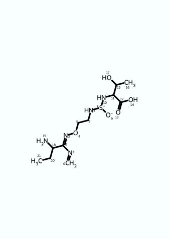 C=N/C(=N\OCCN[S+]([O-])NC(C(=O)O)C(C)O)C(N)CC